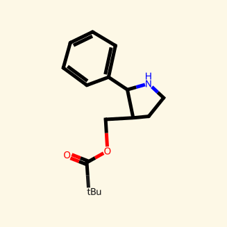 CC(C)(C)C(=O)OCC1CCNC1c1ccccc1